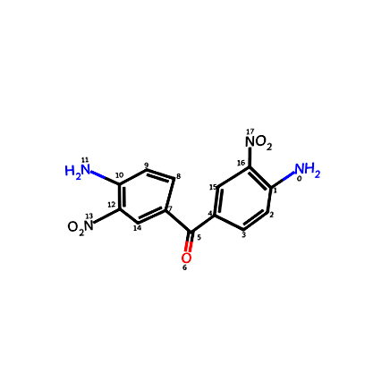 Nc1ccc(C(=O)c2ccc(N)c([N+](=O)[O-])c2)cc1[N+](=O)[O-]